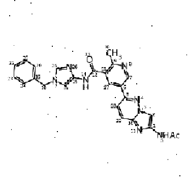 CC(=O)Nc1cn2nc(-c3cnc(C)c(C(=O)Nc4cn(Cc5ccccc5)cn4)c3)ccc2n1